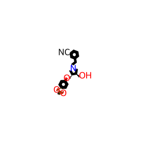 CS(=O)(=O)c1ccc(OC[C@@H]2CN(CCc3cccc(C#N)c3)C[C@H]2CO)cc1